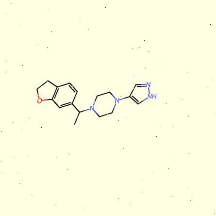 CC(c1ccc2c(c1)OCC2)N1CCN(c2cn[nH]c2)CC1